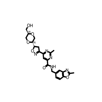 Cc1nc(C(=O)NCc2ccc3oc(C)nc3c2)cc(C2=NOC([C@H]3CO[C@H](CO)CO3)C2)n1